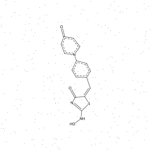 O=C1N=C(NO)SC1=Cc1ccc(-n2ccc(=O)cc2)cc1